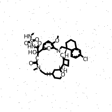 CNS(=O)(=O)NC(=O)[C@@]1(O)CC(=O)N(C)CC[C@H]2CCO[C@@H](C2)[C@@H]2CC[C@H]2CN(C[C@]2(C)CCCc3cc(Cl)ccc32)c2cc1ccc2OC